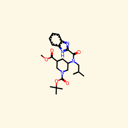 COC(=O)C1CC(N(CC(C)C)C(=O)c2nc3ccccc3[nH]2)CN(C(=O)OC(C)(C)C)C1